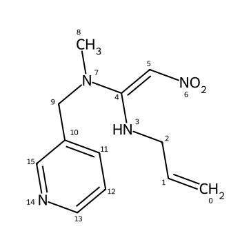 C=CCNC(=C[N+](=O)[O-])N(C)Cc1cccnc1